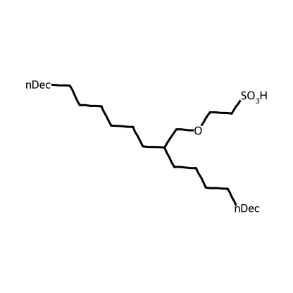 CCCCCCCCCCCCCCCCC(CCCCCCCCCCCCCC)COCCS(=O)(=O)O